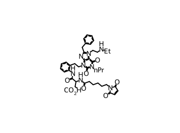 CCCn1c(=O)c2c(nc(Cc3ccccc3)n2CCNCC)n(CCc2ccccc2NC(=O)C(CC(=O)O)NC(=O)CCCCCN2C(=O)C=CC2=O)c1=O